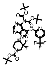 CC(C)(C)OC(=O)N1CC[C@H](n2nc(Oc3cc(C(F)(F)F)ccn3)c3c(N(C(=O)OC(C)(C)C)C(=O)OC(C)(C)C)ncnc32)C(F)(F)C1